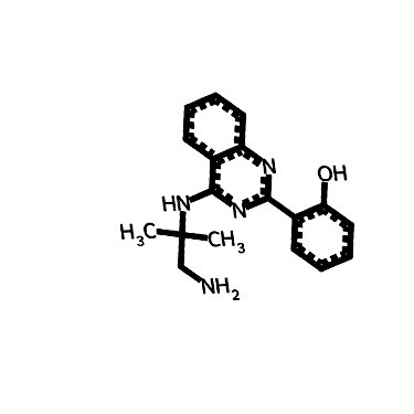 CC(C)(CN)Nc1nc(-c2ccccc2O)nc2ccccc12